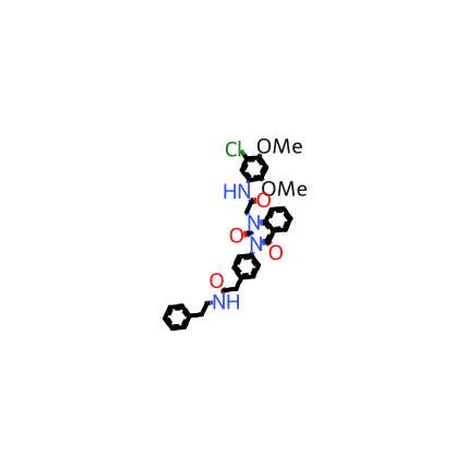 COc1cc(OC)c(NC(=O)Cn2c(=O)n(-c3ccc(CC(=O)NCCc4ccccc4)cc3)c(=O)c3ccccc32)cc1Cl